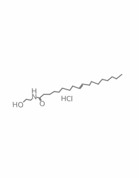 CCCCCCCCC=CCCCCCCCC(=O)NCCO.Cl